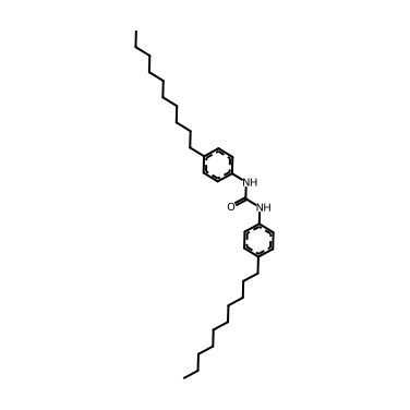 CCCCCCCCCCc1ccc(NC(=O)Nc2ccc(CCCCCCCCCC)cc2)cc1